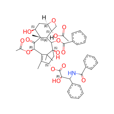 CC(=O)O[C@H]1C(=O)[C@@]2(C)[C@H](C(OC(=O)c3ccccc3)[C@]3(O)C[C@H](OC(=O)[C@H](O)C(NC(=O)c4ccccc4)c4ccccc4)C(C)=C1C3(C)C)[C@]1(OC(C)=O)CO[C@@H]1C[C@@H]2O